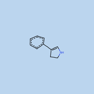 C1=C(c2ccccc2)CCN1